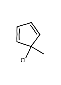 CC1(Cl)C=CC=C1